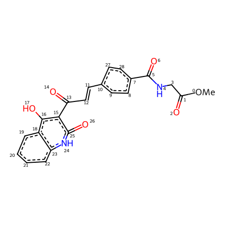 COC(=O)CNC(=O)c1ccc(C=CC(=O)c2c(O)c3ccccc3[nH]c2=O)cc1